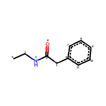 CCNC(=O)Cc1ccccc1